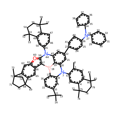 Cc1cc2c(cc1N1c3cc(C(C)(C)C)ccc3B3c4c1cc(-c1ccc(N(c5ccccc5)c5ccccc5)cc1)cc4N(c1ccc4c(c1)C(C)(C)CCC4(C)C)c1oc4cc5c(cc4c13)C1(C)CCC5(C)C1)C(C)(C)CCC2(C)C